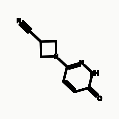 N#CC1CN(c2ccc(=O)[nH]n2)C1